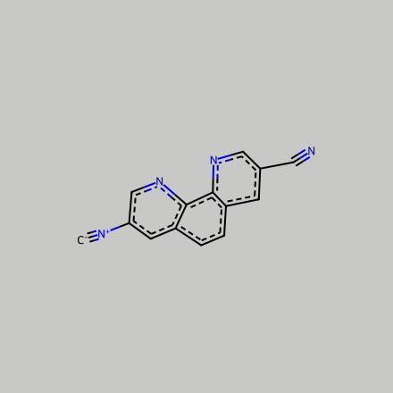 [C-]#[N+]c1cnc2c(ccc3cc(C#N)cnc32)c1